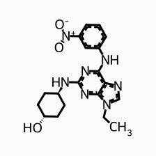 CCn1cnc2c(Nc3cccc([N+](=O)[O-])c3)nc(N[C@H]3CC[C@H](O)CC3)nc21